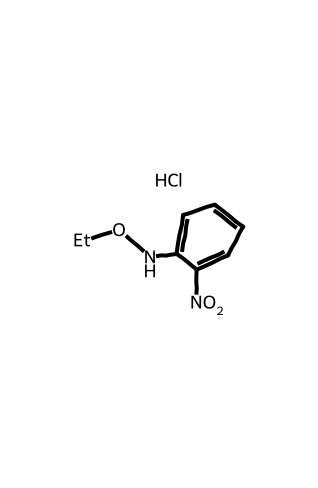 CCONc1ccccc1[N+](=O)[O-].Cl